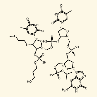 COCCOC1C(OP(=O)(S)OCCCO)[C@@H](COP(=O)(S)OC2C[C@H](n3cc(C)c(=O)[nH]c3=O)O[C@@H]2COP(=O)(S)OC2C[C@H](n3cnc4c(=O)[nH]c(N)nc43)O[C@@H]2COP(=O)(S)OC(C)C)O[C@H]1n1cc(C)c(=O)[nH]c1=O